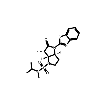 CC(C)N(C)S(=O)(=O)N1CC[C@H]2[C@H]1[C@H](C)C(=O)N2c1nc2ccccc2s1